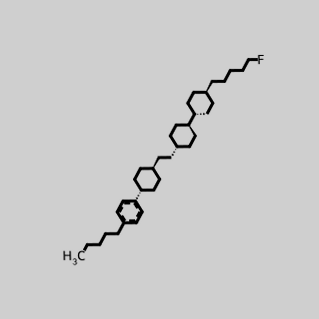 CCCCCc1ccc([C@H]2CC[C@H](CC[C@H]3CC[C@H]([C@H]4CC[C@H](CCCCCF)CC4)CC3)CC2)cc1